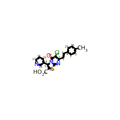 Cc1ccc(/C=C/c2nc3sc(C(=O)O)c(-c4cccnc4)n3c(=O)c2Cl)cc1